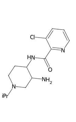 CC(C)N1CCC(NC(=O)c2ncccc2Cl)C(N)C1